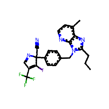 CCCc1nc2c(C)ccnc2n1Cc1ccc(C2(C#N)N=CC(C(F)(F)F)=C2I)cc1